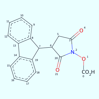 O=C(O)ON1C(=O)CC(C2c3ccccc3-c3ccccc32)C1=O